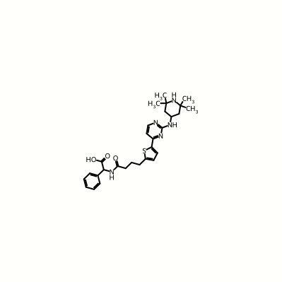 CC1(C)CC(Nc2nccc(-c3ccc(CCCC(=O)NC(C(=O)O)c4ccccc4)s3)n2)CC(C)(C)N1